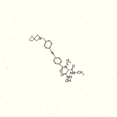 CNC(=O)C(C(=O)NO)N(C)C(=O)c1ccc(C#Cc2ccc(CN3CC4(CCC4)C3)cc2)cc1